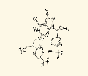 CCC(CNc1nc2c(c(C#N)nn2C(C)c2ccc(C(F)(F)F)nc2)c(=O)[nH]1)c1ncc(C(F)F)cn1